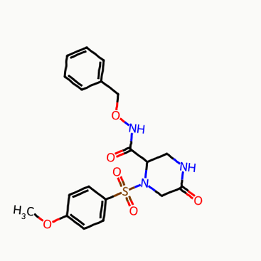 COc1ccc(S(=O)(=O)N2CC(=O)NCC2C(=O)NOCc2ccccc2)cc1